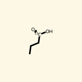 CCC[13C](=O)O